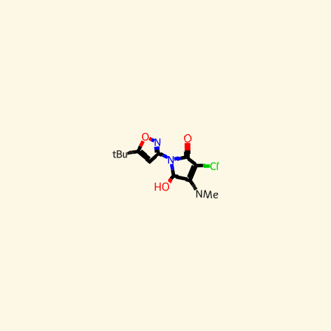 CNC1=C(Cl)C(=O)N(c2cc(C(C)(C)C)on2)C1O